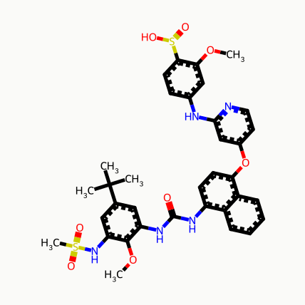 COc1cc(Nc2cc(Oc3ccc(NC(=O)Nc4cc(C(C)(C)C)cc(NS(C)(=O)=O)c4OC)c4ccccc34)ccn2)ccc1S(=O)O